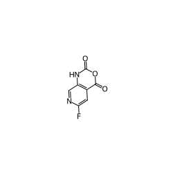 O=c1[nH]c2cnc(F)cc2c(=O)o1